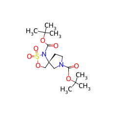 CC(C)(C)OC(=O)N1CC[C@]2(COS(=O)(=O)N2C(=O)OC(C)(C)C)C1